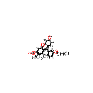 O=COc1ccc(C(=O)O)c(-c2c3ccc(=O)cc-3oc3cc(O)ccc23)c1